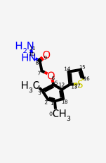 Cc1cc(C)c(OCC(=O)NN)c(-c2cccs2)c1